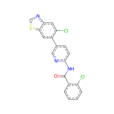 O=C(Nc1ccc(-c2cc3scnc3cc2Cl)cn1)c1ccccc1Cl